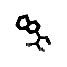 CC(C)C(N=O)c1ccc2ccccc2c1